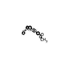 CCOC(=O)c1ccc(N2CCN(c3ccc4ccn(CCN5CCCC5)c4n3)CC2)cc1